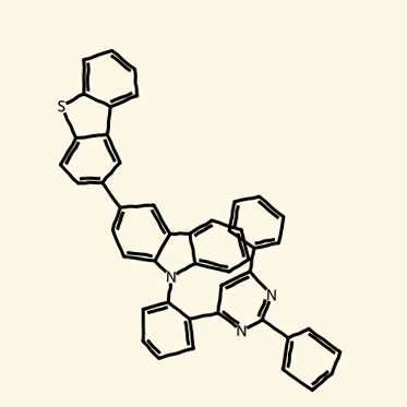 c1ccc(-c2cc(-c3ccccc3-n3c4ccccc4c4cc(-c5ccc6sc7ccccc7c6c5)ccc43)nc(-c3ccccc3)n2)cc1